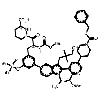 CO[C@@H](C)c1ncc(C2CCN(C(=O)OCc3ccccc3)CC2)cc1-c1c(CC(C)(C)CO)c2cc(-c3cc(C[C@H](NC(=O)OC(C)(C)C)C(=O)N4CCC[C@@H](C(=O)O)N4)cc(O[Si](C(C)C)(C(C)C)C(C)C)c3)ccc2n1CC(F)(F)F